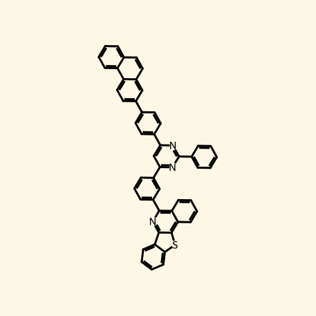 c1ccc(-c2nc(-c3ccc(-c4ccc5c(ccc6ccccc65)c4)cc3)cc(-c3cccc(-c4nc5c6ccccc6sc5c5ccccc45)c3)n2)cc1